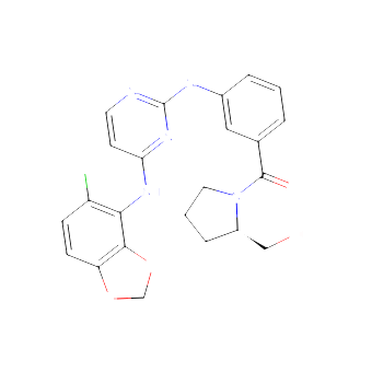 O=C(c1cccc(Nc2nccc(Nc3c(Cl)ccc4c3OCO4)n2)c1)N1CCC[C@@H]1CO